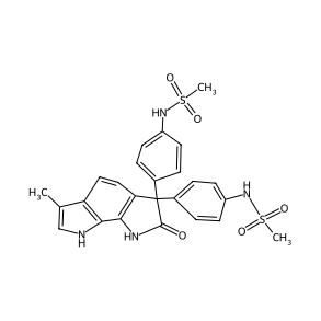 Cc1c[nH]c2c3c(ccc12)C(c1ccc(NS(C)(=O)=O)cc1)(c1ccc(NS(C)(=O)=O)cc1)C(=O)N3